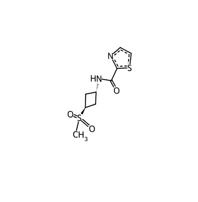 CS(=O)(=O)[C@H]1C[C@H](NC(=O)c2nccs2)C1